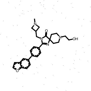 CN1CC(CN2C(=O)C3(CCN(CCO)CC3)N=C2c2ccc(-c3ccc4occc4c3)cc2)C1